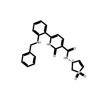 O=C(N[C@@H]1C=CS(=O)(=O)C1)c1ccc(-c2ccccc2NCc2ccccc2)[nH]c1=O